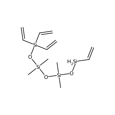 C=C[SiH2]O[Si](C)(C)O[Si](C)(C)O[Si](C=C)(C=C)C=C